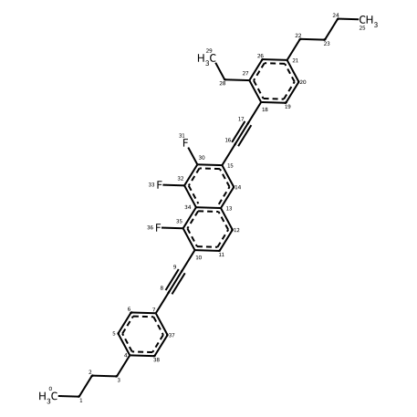 CCCCc1ccc(C#Cc2ccc3cc(C#Cc4ccc(CCCC)cc4CC)c(F)c(F)c3c2F)cc1